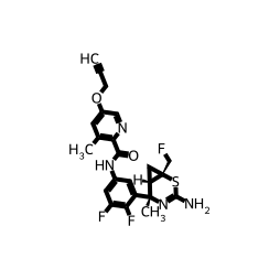 C#CCOc1cnc(C(=O)Nc2cc(F)c(F)c([C@@]3(C)N=C(N)S[C@@]4(CF)C[C@H]43)c2)c(C)c1